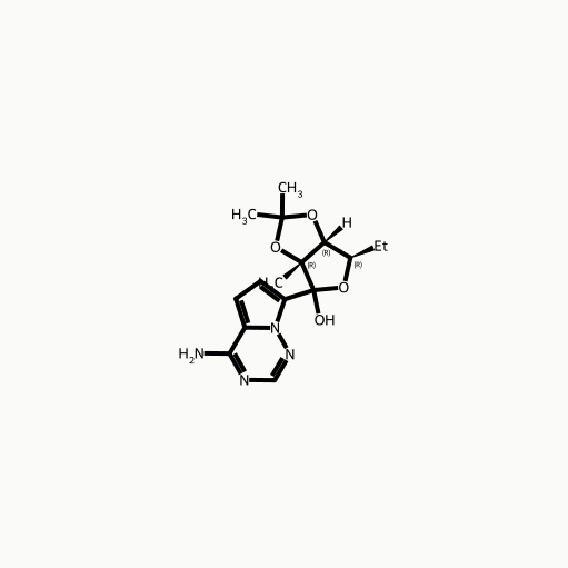 CC[C@H]1OC(O)(c2ccc3c(N)ncnn23)[C@]2(C)OC(C)(C)O[C@H]12